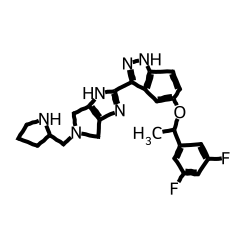 CC(Oc1ccc2[nH]nc(-c3nc4c([nH]3)CN(CC3CCCN3)C4)c2c1)c1cc(F)cc(F)c1